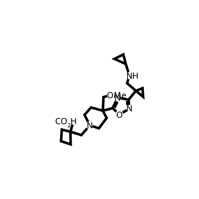 COCC1(c2nc(C3(CNC4CC4)CC3)no2)CCN(CC2(C(=O)O)CCC2)CC1